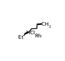 C=CCC/C=C/CC.Cl.[Rh]